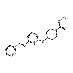 CC(C)(C)OC(=O)N1CCC(Oc2cccc(OCc3ccccc3)n2)CC1